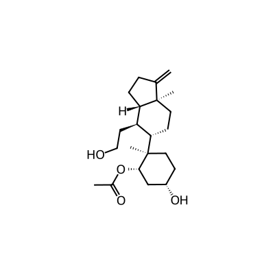 C=C1CC[C@H]2[C@H](CCO)[C@@H]([C@@]3(C)CC[C@H](O)C[C@@H]3OC(C)=O)CC[C@]12C